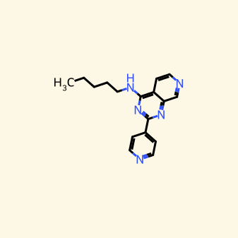 CCCCCNc1nc(-c2ccncc2)nc2cnccc12